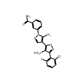 CCOC(=O)c1c(-c2c(F)cccc2Cl)noc1-c1cnn(-c2cccc(C(N)=O)c2)c1C(F)(F)F